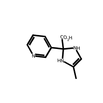 CC1=CNC(C(=O)O)(c2cccnc2)N1